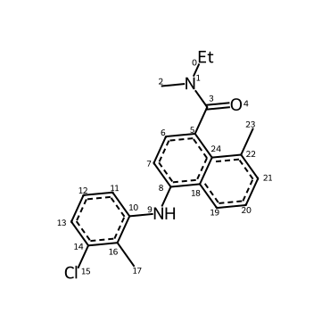 CCN(C)C(=O)c1ccc(Nc2cccc(Cl)c2C)c2cccc(C)c12